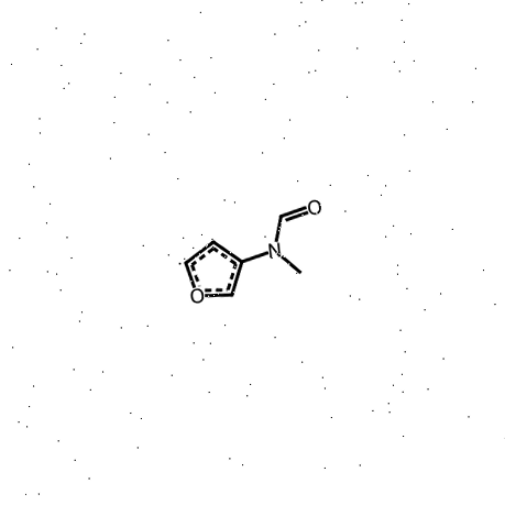 CN(C=O)c1c[c]oc1